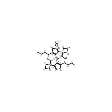 CCCCC1=[C]([Ti+2][C]2=C(CCCC)CC=C2[Si]2(CC)CCC2)C([Si]2(CC)CCC2)=CC1.[Cl-].[Cl-]